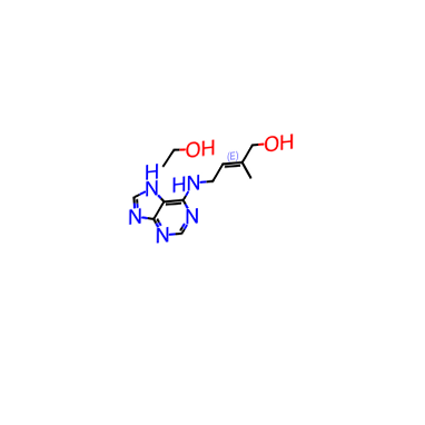 C/C(=C\CNc1ncnc2nc[nH]c12)CO.CCO